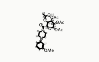 COc1cccc(N2CCN(C(=O)[C@H]3O[C@@H](OC(C)=O)[C@H](OC(C)=O)[C@@H](OC(C)=O)[C@@H]3OC(C)O)CC2)c1